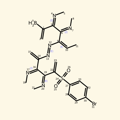 BC(=C)C(=N/C)/C(=N\C)C(=C\C)/N=N/C(=C)C(=N/C)/C(=N\C)C(=C)S(=O)(=O)c1ccc(Br)cc1